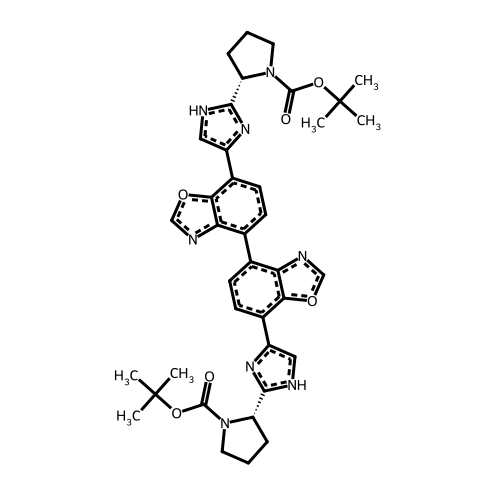 CC(C)(C)OC(=O)N1CCC[C@H]1c1nc(-c2ccc(-c3ccc(-c4c[nH]c([C@@H]5CCCN5C(=O)OC(C)(C)C)n4)c4ocnc34)c3ncoc23)c[nH]1